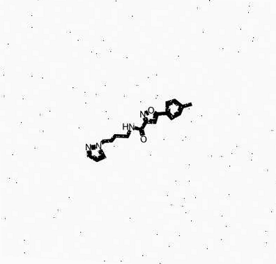 Cc1ccc(-c2cc(C(=O)NCCCCn3cccn3)no2)cc1